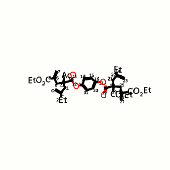 C=C(CC)CC(CC(=C)C(=O)OCC)(C(C)=O)C(=O)Oc1ccc(OC(=O)C(CC(=C)CC)(CC(=C)C(=O)OCC)C(=O)OCC)cc1